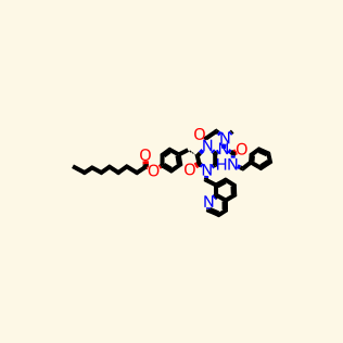 CCCCCCCCC(=O)Oc1ccc(C[C@H]2C(=O)N(Cc3cccc4cccnc34)CC3N2C(=O)CN(C)N3C(=O)NCc2ccccc2)cc1